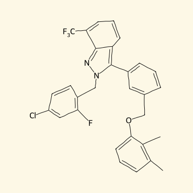 Cc1cccc(OCc2cccc(-c3c4cccc(C(F)(F)F)c4nn3Cc3ccc(Cl)cc3F)c2)c1C